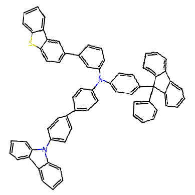 c1ccc(C2(c3ccc(N(c4ccc(-c5ccc(-n6c7ccccc7c7ccccc76)cc5)cc4)c4cccc(-c5ccc6sc7ccccc7c6c5)c4)cc3)c3ccccc3-c3ccccc32)cc1